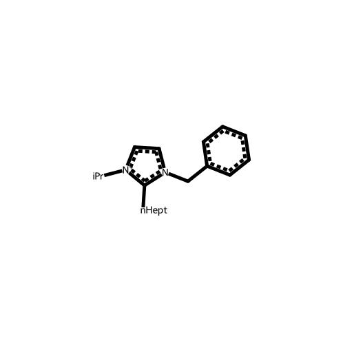 CCCCCCCc1n(Cc2ccccc2)cc[n+]1C(C)C